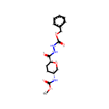 CC(C)(C)OC(=O)N[C@@H]1CC[C@@H](C(=O)NNC(=O)OCc2ccccc2)OC1